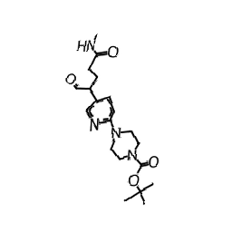 CNC(=O)CCC(C=O)c1ccc(N2CCN(C(=O)OC(C)(C)C)CC2)nc1